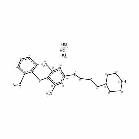 COc1ccccc1Cc1c(N)nc(SCCCN2CCNCC2)nc1N.Cl.Cl.Cl